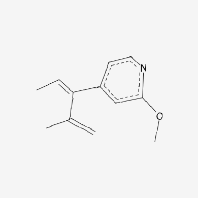 C=C(C)/C(=C\C)c1ccnc(OC)c1